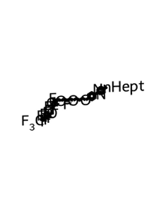 CCCCCCCc1cnc(-c2ccc(OCCCOC[C@H](F)COCC(F)(F)OC(F)(F)C(F)(F)OC(F)(F)C(F)(F)C(F)(F)C(F)(F)F)cc2)nc1